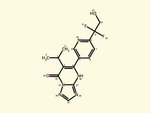 CC(C)c1c(-c2ccc(C(F)(F)CO)nc2)[nH]c2ncnn2c1=O